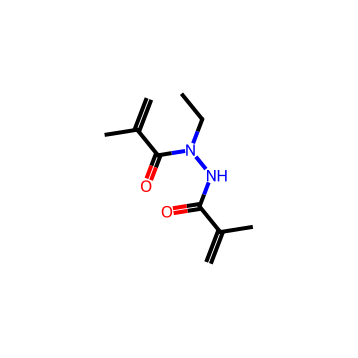 C=C(C)C(=O)NN(CC)C(=O)C(=C)C